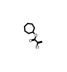 C=C(CC)C(=O)OC1CCCCCC1